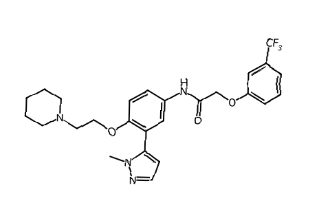 Cn1nccc1-c1cc(NC(=O)COc2cccc(C(F)(F)F)c2)ccc1OCCN1CCCCC1